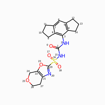 O=C(Nc1c2c(cc3c1CCC3)CCC2)NS(=O)(=O)c1nc2c(o1)COCC2